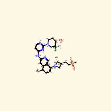 CC[C@@]1(F)CN(c2nccc(Nc3cc4c(C(C)C)ccc(N5C[C@H](CCS(C)(=O)=O)[C@H]5C)c4cn3)n2)CC[C@@H]1O